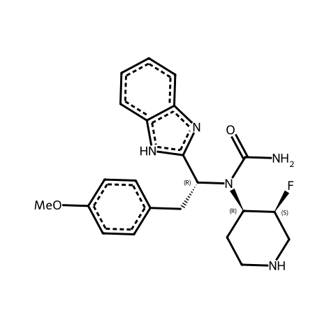 COc1ccc(C[C@H](c2nc3ccccc3[nH]2)N(C(N)=O)[C@@H]2CCNC[C@@H]2F)cc1